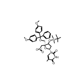 COc1ccc(C(OC[C@@]2(C[N+](=O)[O-])O[C@@H](n3cc(C)c(=O)[nH]c3=O)CC2O[Si](C)(C)C(C)(C)C)(c2ccccc2)c2ccc(OC)cc2)cc1